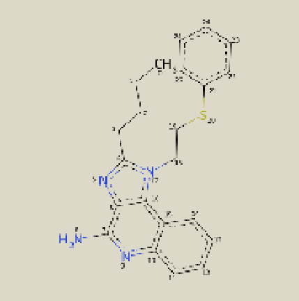 CCCCc1nc2c(N)nc3ccccc3c2n1CCSc1ccccc1